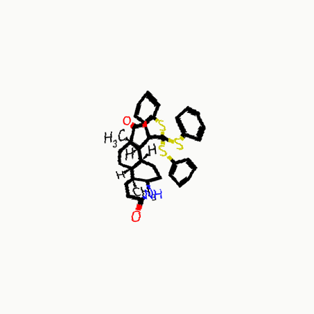 C[C@]12CCC(=O)NC1CC[C@@H]1[C@H]2CC[C@]2(C)C(=O)CC(C(Sc3ccccc3)(Sc3ccccc3)Sc3ccccc3)[C@@H]12